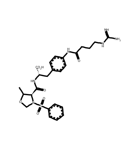 CC1OCN(S(=O)(=O)c2ccccc2)[C@@H]1C(=O)N[C@@H](Cc1ccc(NC(=O)CCCNC(=N)N)cc1)C(=O)O